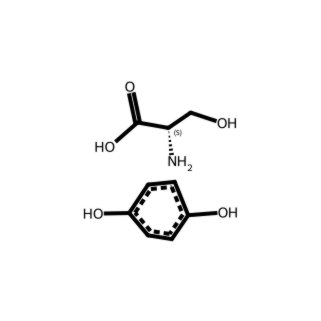 N[C@@H](CO)C(=O)O.Oc1ccc(O)cc1